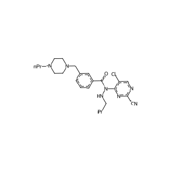 CCCN1CCN(Cc2cccc(C(=O)N(NCC(C)C)c3nc(C#N)ncc3Cl)c2)CC1